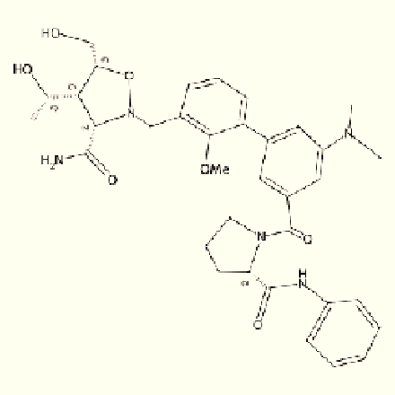 COc1c(CN2O[C@@H](CO)[C@@H]([C@H](C)O)[C@H]2C(N)=O)cccc1-c1cc(C(=O)N2CCC[C@H]2C(=O)Nc2ccccc2)cc(N(C)C)c1